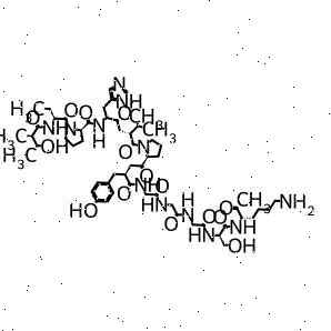 CC[C@H](NC(=O)[C@H](C)C(C)O)C(=O)N1CCC[C@@H]1C(=O)NC(Cc1cnc[nH]1)C(=O)C[C@@H](C(=O)N1CCC[C@H]1C(=O)C[C@H](Cc1ccc(O)cc1)C(=O)NCC(=O)NCC(=O)NCC(=O)N[C@H](CO)C(=O)N[C@@H](CCCCN)C(C)=O)C(C)C